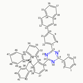 c1ccc(-c2nc(-c3ccc(-c4ccc5ccccc5c4)cc3)nc(-c3cccc4c3-c3ccccc3[Si]4(c3ccccc3)c3ccccc3)n2)cc1